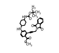 COC(=O)c1ccc(NC2CCC(NC(=O)OC(C)(C)C)CC2)cc1C#CCN1C(=O)c2ccccc2C1=O